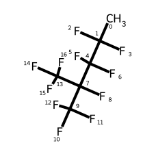 CC(F)(F)C(F)(F)C(F)(C(F)(F)F)C(F)(F)F